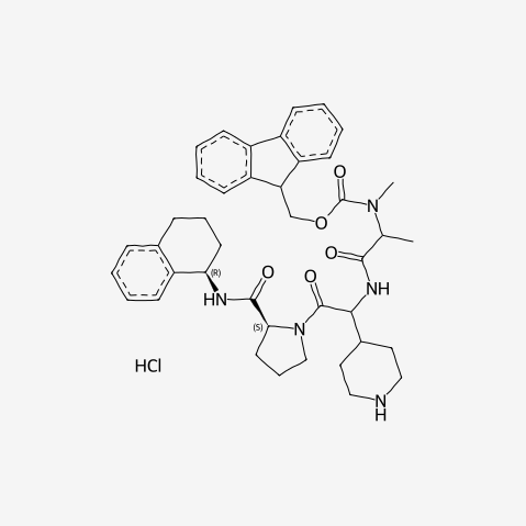 CC(C(=O)NC(C(=O)N1CCC[C@H]1C(=O)N[C@@H]1CCCc2ccccc21)C1CCNCC1)N(C)C(=O)OCC1c2ccccc2-c2ccccc21.Cl